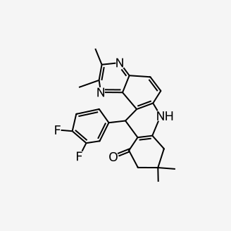 Cc1nc2ccc3c(c2nc1C)C(c1ccc(F)c(F)c1)C1=C(CC(C)(C)CC1=O)N3